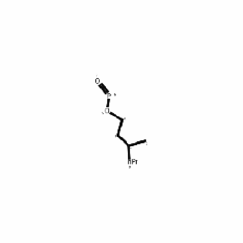 CCCC(C)CCOP=O